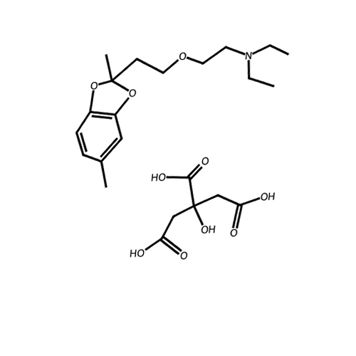 CCN(CC)CCOCCC1(C)Oc2ccc(C)cc2O1.O=C(O)CC(O)(CC(=O)O)C(=O)O